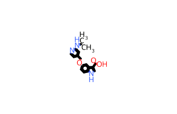 CC(C)Nc1cc(COc2ccc3[nH]cc(C(=O)O)c3c2)ccn1